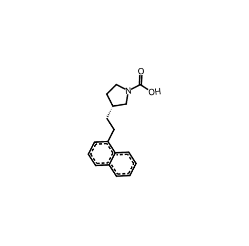 O=C(O)N1CC[C@@H](CCc2cccc3ccccc23)C1